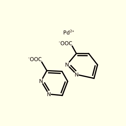 O=C([O-])c1cccnn1.O=C([O-])c1cccnn1.[Pd+2]